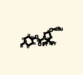 CC(C)C1(C(C)C)CC(OC(C)(C)C)CN1C(=O)OC1CCN(C)CC1